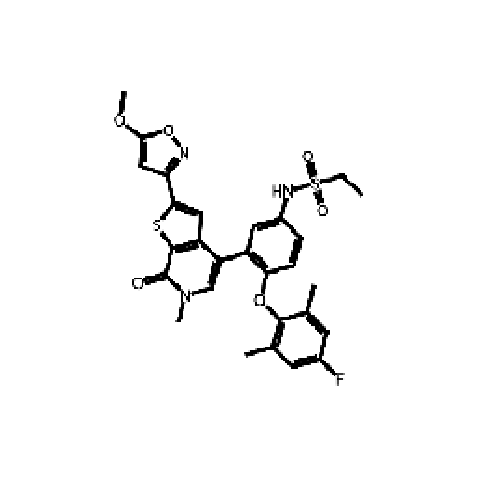 CCS(=O)(=O)Nc1ccc(Oc2c(C)cc(F)cc2C)c(-c2cn(C)c(=O)c3sc(-c4cc(OC)on4)cc23)c1